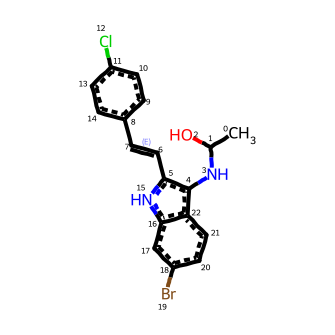 CC(O)Nc1c(/C=C/c2ccc(Cl)cc2)[nH]c2cc(Br)ccc12